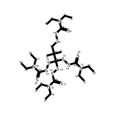 CCN(CC)C(=S)SSCC(C)(C)C(SSC(=S)N(CC)CC)(SSC(=S)N(CC)CC)SSC(=S)N(CC)CC